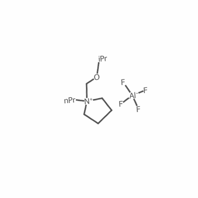 CCC[N+]1(COC(C)C)CCCC1.[F][Al-]([F])([F])[F]